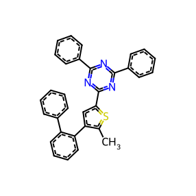 Cc1sc(-c2nc(-c3ccccc3)nc(-c3ccccc3)n2)cc1-c1ccccc1-c1ccccc1